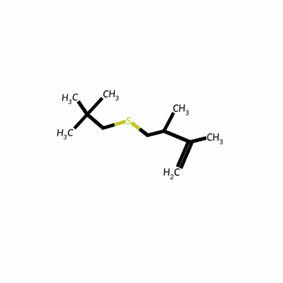 C=C(C)C(C)CSCC(C)(C)C